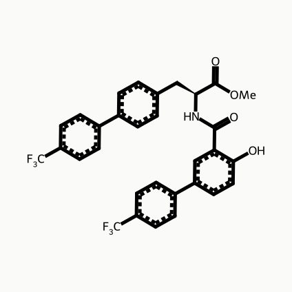 COC(=O)[C@H](Cc1ccc(-c2ccc(C(F)(F)F)cc2)cc1)NC(=O)c1cc(-c2ccc(C(F)(F)F)cc2)ccc1O